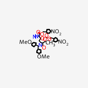 COc1ccc(C(c2ccc(OC)cc2)N2C(=O)C(C(C)OC(=O)OCc3ccc([N+](=O)[O-])cc3)C2CC(=O)C(=[N+]=[N-])C(=O)OCc2ccc([N+](=O)[O-])cc2)cc1